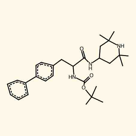 CC1(C)CC(NC(=O)C(Cc2ccc(-c3ccccc3)cc2)NC(=O)OC(C)(C)C)CC(C)(C)N1